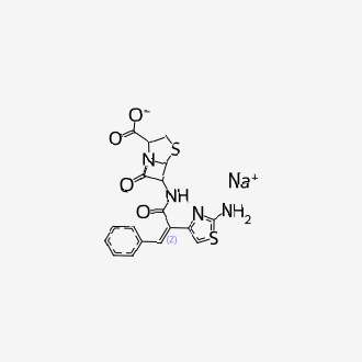 Nc1nc(/C(=C/c2ccccc2)C(=O)NC2C(=O)N3C(C(=O)[O-])CSC23)cs1.[Na+]